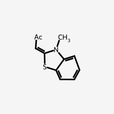 CC(=O)/C=C1/Sc2ccccc2N1C